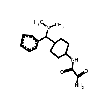 CN(C)C(c1ccccc1)C1CCC(NC(=O)C(N)=O)CC1